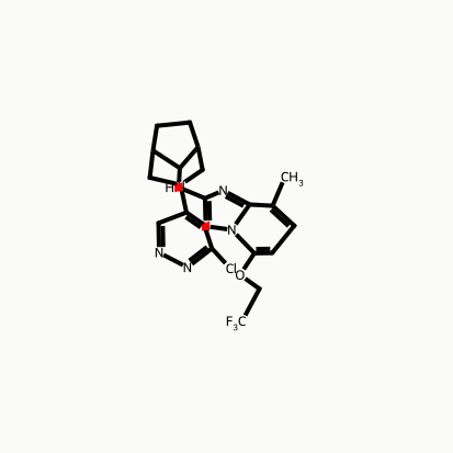 Cc1ccc(OCC(F)(F)F)n2nc(NC3C4CCC3CN(c3cnnc(Cl)c3)C4)nc12